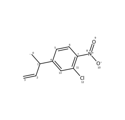 [CH2]C(C=C)c1ccc([N+](=O)[O-])c(Cl)c1